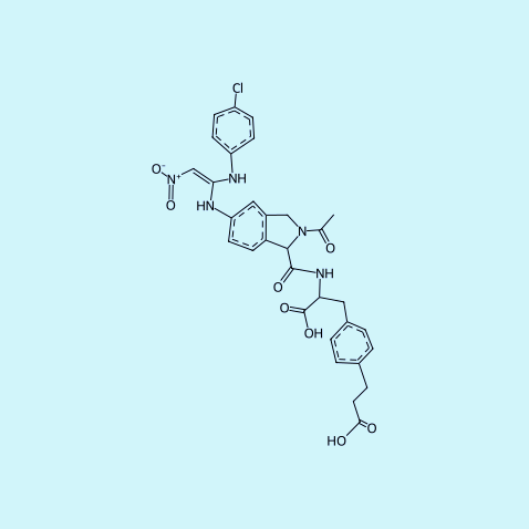 CC(=O)N1Cc2cc(NC(=C[N+](=O)[O-])Nc3ccc(Cl)cc3)ccc2C1C(=O)NC(Cc1ccc(CCC(=O)O)cc1)C(=O)O